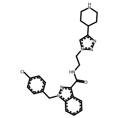 O=C(NCCn1cc(C2CCNCC2)nn1)c1nn(Cc2ccc(Cl)cc2)c2ccccc12